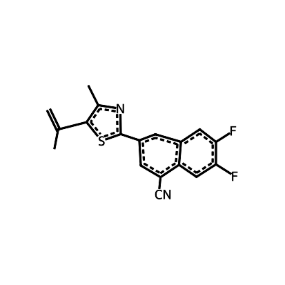 C=C(C)c1sc(-c2cc(C#N)c3cc(F)c(F)cc3c2)nc1C